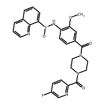 COc1cc(C(=O)N2CCN(C(=O)c3ccc(F)cn3)CC2)ccc1N[S+]([O-])c1cccc2cccnc12